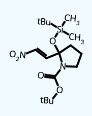 CC(C)(C)OC(=O)N1CCCC1(/C=C/[N+](=O)[O-])O[Si](C)(C)C(C)(C)C